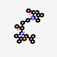 c1cc(-c2ccc(-c3nc(-c4ccccc4-c4cc5ccccc5c5ccccc45)cc(-c4cccc5c4oc4ccccc45)n3)cc2)cc(-c2ccc(-c3cc(-c4ccccc4-c4cc5ccccc5c5ccccc45)nc(-c4ccc(-c5cc6ccccc6c6ccccc56)cc4)n3)c3oc4ccccc4c23)c1